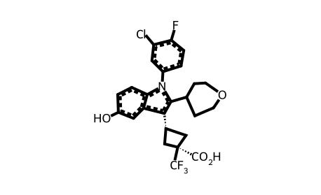 O=C(O)[C@]1(C(F)(F)F)C[C@H](c2c(C3CCOCC3)n(-c3ccc(F)c(Cl)c3)c3ccc(O)cc32)C1